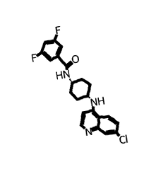 O=C(N[C@H]1CC[C@@H](Nc2ccnc3cc(Cl)ccc23)CC1)c1cc(F)cc(F)c1